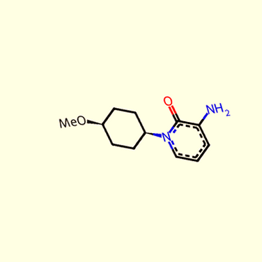 CO[C@H]1CC[C@@H](n2cccc(N)c2=O)CC1